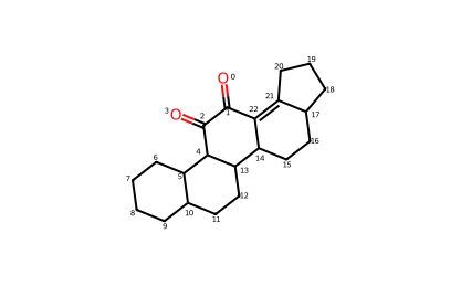 O=C1C(=O)C2C3CCCCC3CCC2C2CCC3CCCC3=C12